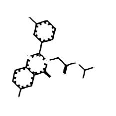 CC(C)NC(=O)Cn1c(-c2cccc(Cl)c2)nc2ccc(O)cc2c1=O